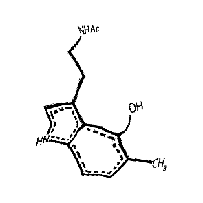 CC(=O)NCCc1c[nH]c2ccc(C)c(O)c12